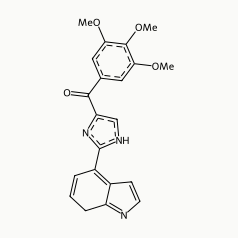 COc1cc(C(=O)c2c[nH]c(C3=C4C=CN=C4CC=C3)n2)cc(OC)c1OC